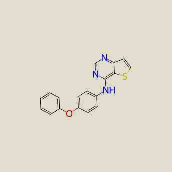 c1ccc(Oc2ccc(Nc3ncnc4ccsc34)cc2)cc1